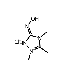 Cc1n(C)c(=NO)[nH][n+]1C.[Cl-]